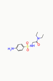 CCN(CC)C(=O)CNS(=O)(=O)c1ccc(N)cc1